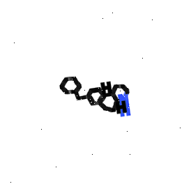 c1cc2c(cc1CC1CCCCC1)CC[C@@H]1NCCC[C@H]21